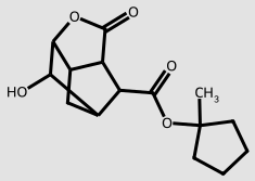 CC1(OC(=O)C2C3CC4C(OC(=O)C42)C3O)CCCC1